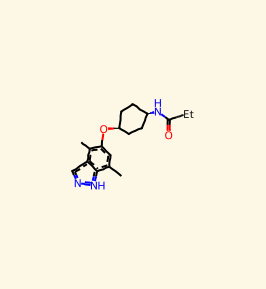 CCC(=O)N[C@H]1CC[C@@H](Oc2cc(C)c3[nH]ncc3c2C)CC1